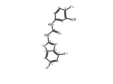 N#Cc1cc(NC(=O)Nc2nc3c(F)cc(F)cc3s2)ccc1F